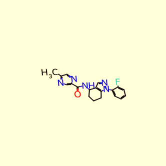 Cc1cnc(C(=O)NC2CCCc3c2cnn3-c2ccccc2F)cn1